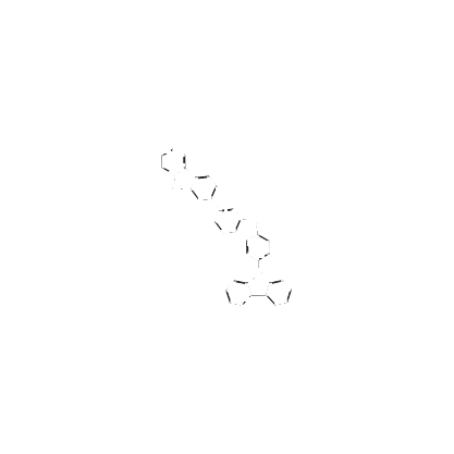 c1ccc2c(c1)oc1cc(-c3ccc4c(c3)sc3ccc(-n5c6ccccc6c6ccccc65)cc34)ccc12